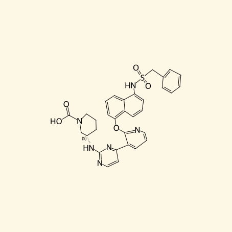 O=C(O)N1CCC[C@H](Nc2nccc(-c3cccnc3Oc3cccc4c(NS(=O)(=O)Cc5ccccc5)cccc34)n2)C1